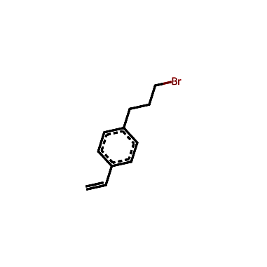 C=Cc1ccc(CCCBr)cc1